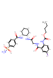 CCCCOC(=O)Nc1ccc(I)cc1C(=O)NCC(=O)N[C@H]1CCCC[C@H]1NC(=O)c1ccc(S(N)(=O)=O)cc1